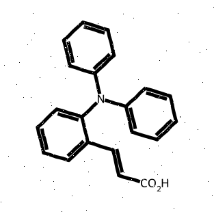 O=C(O)/C=C/c1ccccc1N(c1ccccc1)c1ccccc1